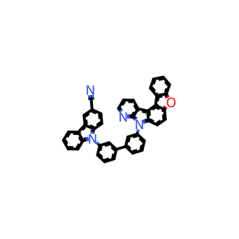 N#Cc1ccc2c(c1)c1ccccc1n2-c1cccc(-c2cccc(-n3c4ccc5oc6ccccc6c5c4c4cccnc43)c2)c1